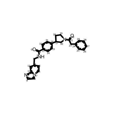 O=C(NCc1ccn2ccnc2c1)c1ccc(C2CCN(C(=O)Cc3ccccc3)C2)cc1